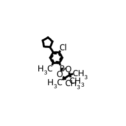 Cc1cc(C2CCCC2)c(Cl)cc1B1OC(C)(C)C(C)(C)O1